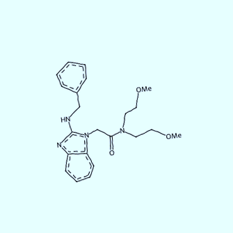 COCCN(CCOC)C(=O)Cn1c(NCc2ccccc2)nc2ccccc21